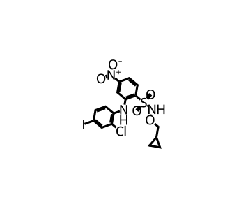 O=[N+]([O-])c1ccc(S(=O)(=O)NOCC2CC2)c(Nc2ccc(I)cc2Cl)c1